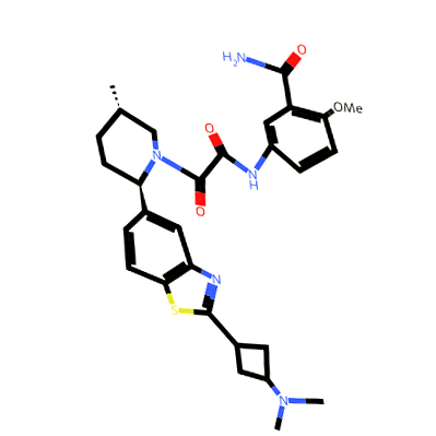 COc1ccc(NC(=O)C(=O)N2C[C@@H](C)CC[C@@H]2c2ccc3sc(C4CC(N(C)C)C4)nc3c2)cc1C(N)=O